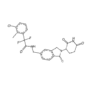 Cc1c(Cl)cccc1C(F)(F)C(=O)NCc1ccc2c(c1)CN(C1CCC(=O)NC1=O)C2=O